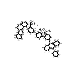 CC1(C)c2ccc(-c3c4ccccc4c(-c4ccccc4)c4ccccc34)cc2-c2ccc(-c3ccc4c(c3)C(C)(C)c3ccc5ccc6c7ccccc7oc6c5c3-4)cc21